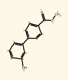 COC(=O)c1ccc(-c2cccc(O)c2)cc1